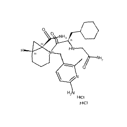 Cc1nc(N)ccc1C[N+]1(C(=O)[C@@H](CC2CCCCC2)NCC(N)=O)CCC[C@@H]2C[C@@]21C(N)=O.Cl.Cl